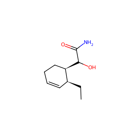 CC[C@H]1C=CCC[C@H]1C(O)C(N)=O